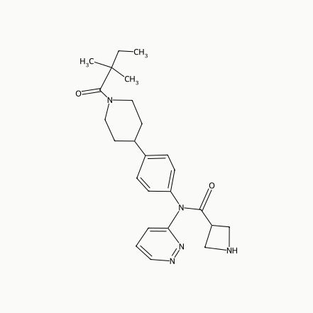 CCC(C)(C)C(=O)N1CCC(c2ccc(N(C(=O)C3CNC3)c3cccnn3)cc2)CC1